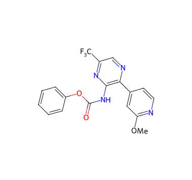 COc1cc(-c2ncc(C(F)(F)F)nc2NC(=O)Oc2ccccc2)ccn1